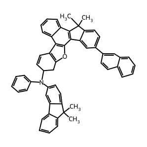 CC1(C)c2ccccc2-c2cc(N(c3ccccc3)C3C=Cc4c(oc5c6c(c7ccccc7c45)C(C)(C)c4ccc(-c5ccc7ccccc7c5)cc4-6)C3)ccc21